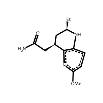 CC[C@@H]1C[C@H](CC(N)=O)c2nc(OC)ccc2N1